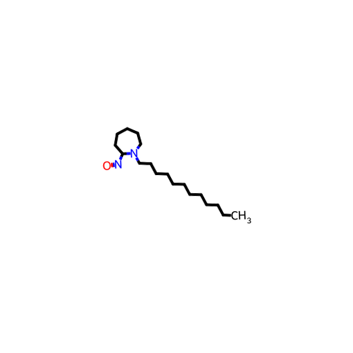 CCCCCCCCCCCCN1CCCCCC1N=O